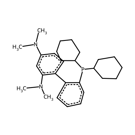 CN(C)c1ccc(-c2ccccc2P(C2CCCCC2)C2CCCCC2)c(N(C)C)c1